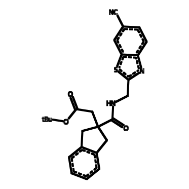 CC(C)(C)OC(=O)CC1(C(=O)NCc2nc3ccc(C#N)cc3s2)Cc2ccccc2C1